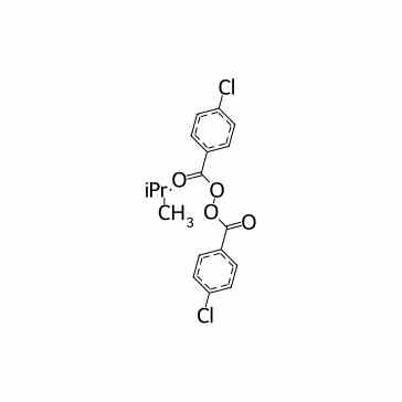 C[C](C)C.O=C(OOC(=O)c1ccc(Cl)cc1)c1ccc(Cl)cc1